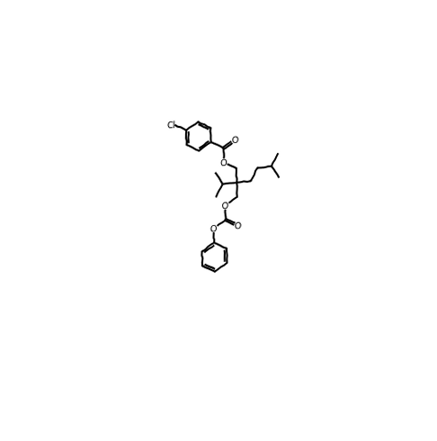 CC(C)CCC(COC(=O)Oc1ccccc1)(COC(=O)c1ccc(Cl)cc1)C(C)C